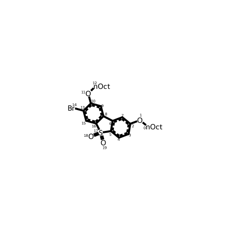 CCCCCCCCOc1ccc2c(c1)-c1cc(OCCCCCCCC)c(Br)cc1S2(=O)=O